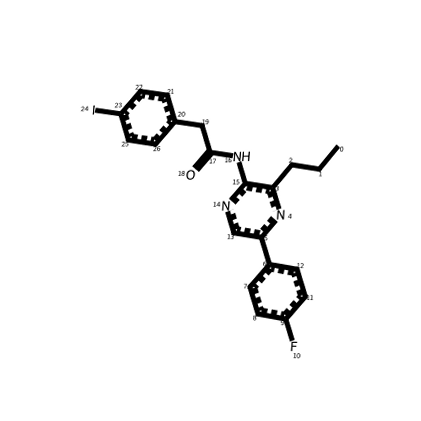 CCCc1nc(-c2ccc(F)cc2)cnc1NC(=O)Cc1ccc(I)cc1